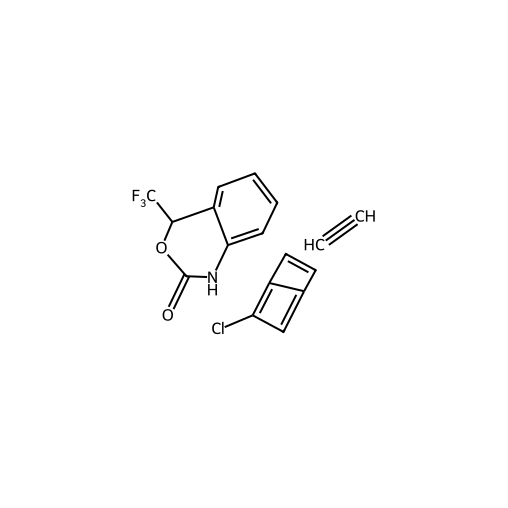 C#C.Clc1cc2ccc1-2.O=C1Nc2ccccc2C(C(F)(F)F)O1